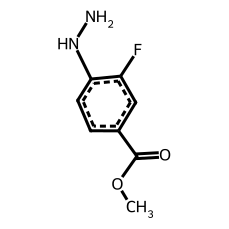 COC(=O)c1ccc(NN)c(F)c1